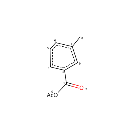 CC(=O)OC(=O)c1cccc(C)c1